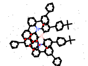 CC(C)(C)c1ccc(-c2ccc3c(c2)B2c4cc(-c5ccc(C(C)(C)C)cc5)ccc4N(c4c(-c5cccc(-c6ccccc6)c5)cccc4-c4cccc(-c5ccccc5)c4)c4cccc(c42)N3c2c(-c3cccc(-c4ccccc4)c3)cccc2-c2cccc(-c3ccccc3)c2)cc1